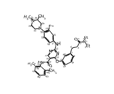 CCN(CC)C(=O)CCc1cccc(Oc2nc(Nc3ccc(N4CCN(C)C(C)C4)c(F)c3)ncc2C(=O)Nc2c(C)cccc2C)c1